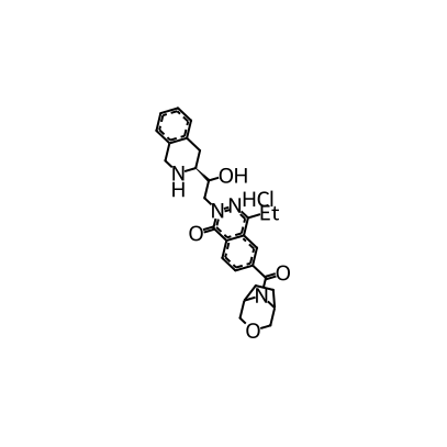 CCc1nn(CC(O)[C@@H]2Cc3ccccc3CN2)c(=O)c2ccc(C(=O)N3C4CCC3COC4)cc12.Cl